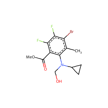 COC(=O)c1c(F)c(F)c(Br)c(C)c1N(CO)C1CC1